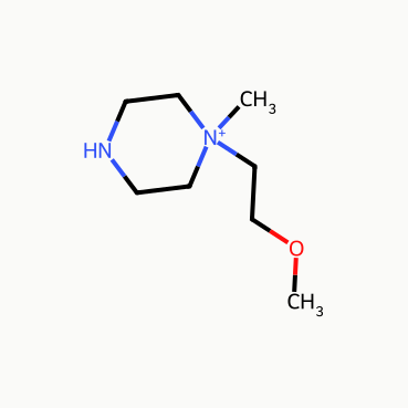 COCC[N+]1(C)CCNCC1